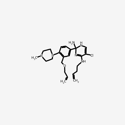 C=CCCNC1=NC(N)(c2ccc(N3CCN(C)CC3)c(COCC=C)c2)NC=C1Cl